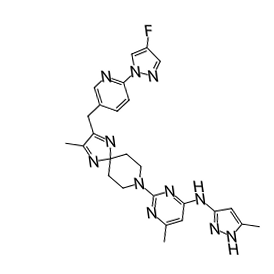 CC1=NC2(CCN(c3nc(C)cc(Nc4cc(C)[nH]n4)n3)CC2)N=C1Cc1ccc(-n2cc(F)cn2)nc1